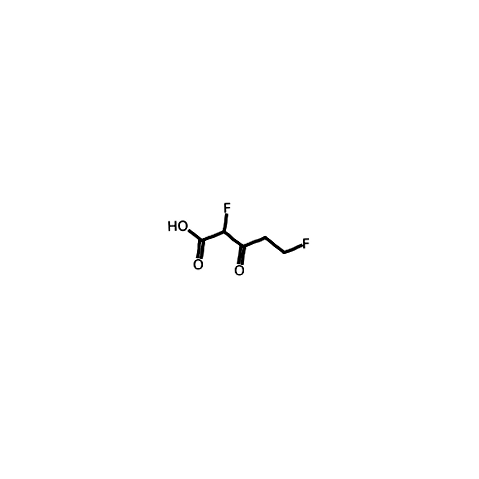 O=C(O)C(F)C(=O)CCF